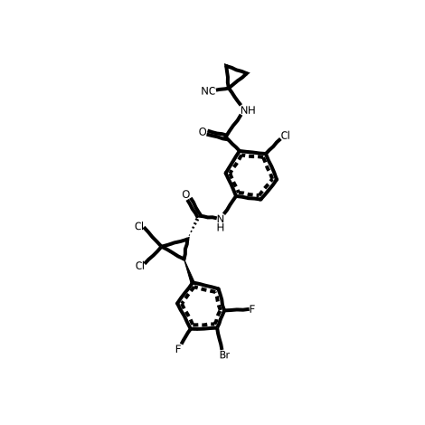 N#CC1(NC(=O)c2cc(NC(=O)[C@@H]3[C@@H](c4cc(F)c(Br)c(F)c4)C3(Cl)Cl)ccc2Cl)CC1